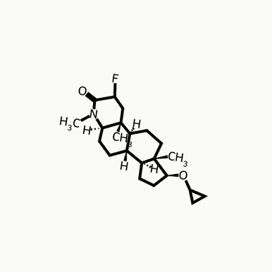 CN1C(=O)C(F)C[C@]2(C)[C@H]3CC[C@]4(C)[C@@H](OC5CC5)CC[C@H]4[C@@H]3CC[C@@H]12